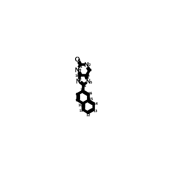 O=C1N=CC2=NC(c3ccc4ccccc4c3)=NC2=N1